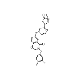 Cn1cc(-c2cc(Oc3ccc4c(c3)C(=O)N(Cc3ccc(F)c(F)c3)CO4)ccn2)cn1